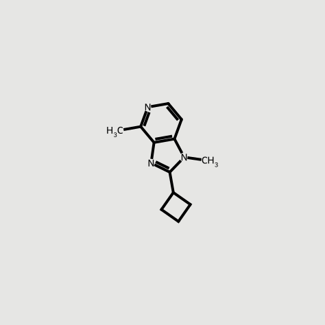 Cc1nccc2c1nc(C1CCC1)n2C